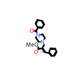 COC(=O)/C(=C/c1ccccc1)CN1CCN(C(=O)c2ccccc2)CC1